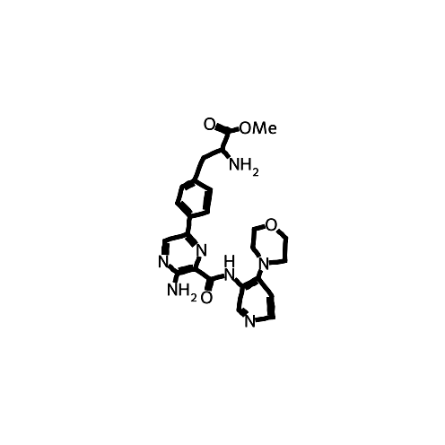 COC(=O)C(N)Cc1ccc(-c2cnc(N)c(C(=O)Nc3cnccc3N3CCOCC3)n2)cc1